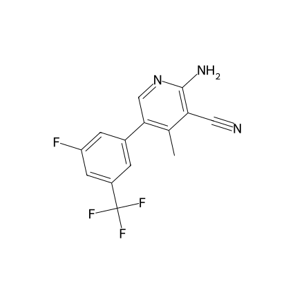 Cc1c(-c2cc(F)cc(C(F)(F)F)c2)cnc(N)c1C#N